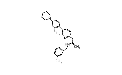 C=C(Cc1ccc(-c2ccc(N3CCCCC3)cc2C)cn1)NCc1cccc(C)c1